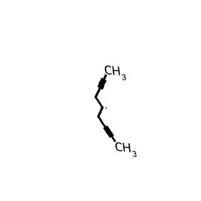 CC#CC[CH]CC#CC